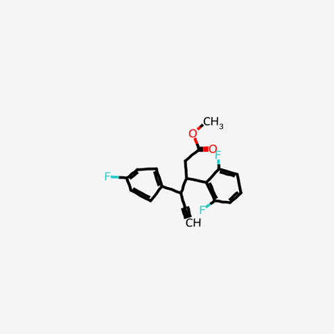 C#CC(c1ccc(F)cc1)C(CC(=O)OC)c1c(F)cccc1F